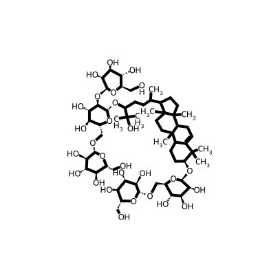 CC(CCC(O[C@@H]1O[C@H](CO[C@@H]2O[C@H](CO)[C@@H](O)[C@H](O)[C@H]2O)[C@@H](O)[C@H](O)[C@H]1O[C@@H]1O[C@H](CO)[C@@H](O)[C@H](O)[C@H]1O)C(C)(C)O)C1CCC2(C)C3CC=C4C(CC[C@H](O[C@@H]5O[C@H](CO[C@@H]6O[C@H](CO)[C@@H](O)[C@H](O)[C@H]6O)[C@@H](O)[C@H](O)[C@H]5O)C4(C)C)C3(C)CCC12C